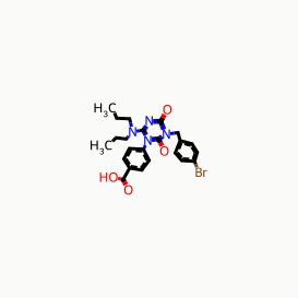 CCCN(CCC)c1nc(=O)n(Cc2ccc(Br)cc2)c(=O)n1-c1ccc(C(=O)O)cc1